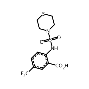 O=C(O)c1cc(C(F)(F)F)ccc1NS(=O)(=O)N1CCSCC1